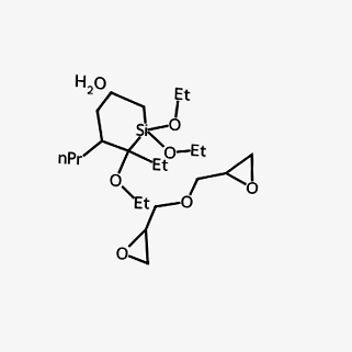 C(OCC1CO1)C1CO1.CCCC1CCC[Si](OCC)(OCC)C1(CC)OCC.O